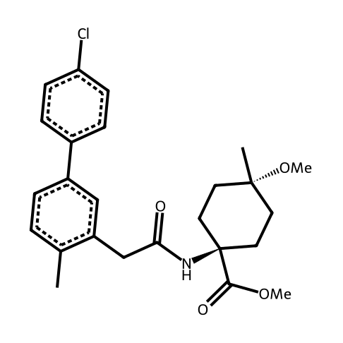 COC(=O)[C@]1(NC(=O)Cc2cc(-c3ccc(Cl)cc3)ccc2C)CC[C@](C)(OC)CC1